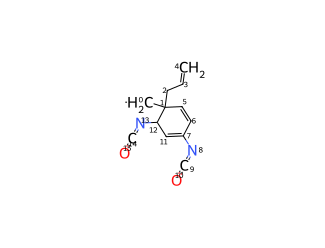 [CH2]C1(CC=C)C=CC(N=C=O)=CC1N=C=O